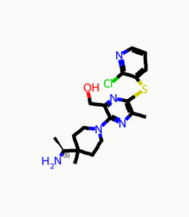 Cc1nc(N2CCC(C)([C@H](C)N)CC2)c(CO)nc1Sc1cccnc1Cl